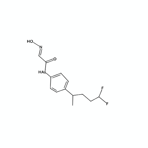 CC(CCC(F)F)c1ccc([AsH]C(=O)C=NO)cc1